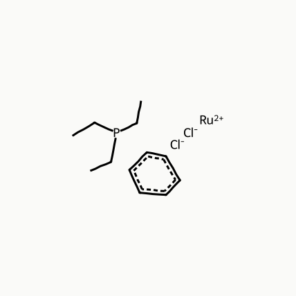 CCP(CC)CC.[Cl-].[Cl-].[Ru+2].c1ccccc1